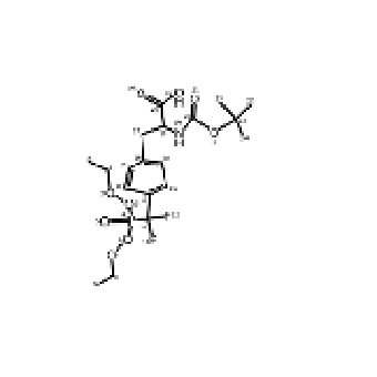 CCOOP(=O)(OOCC)C(F)(F)c1ccc(CC(NC(=O)OC(C)(C)C)C(=O)O)cc1